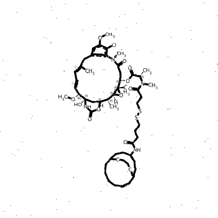 COc1cc2cc(c1Cl)N(C)C(=O)C[C@H](OC(=O)[C@H](C)N(C)C(=O)CCSSCCCC(=O)NC1CCC3CCCCCCC(CCCC3)CC1)[C@]1(C)O[C@H]1[C@H](C)[C@@H]1C[C@@](O)(NC(=O)O1)[C@H](OC)/C=C/C=C(\C)C2